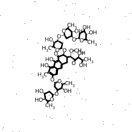 CO[C@H](C(=O)[C@@H](O)[C@@H](C)O)C1Cc2cc3cc(O[C@H]4CC(O[C@H]5C[C@@H](O)[C@H](O)C(C)O5)[C@H](O)C(C)O4)c(C)c(O)c3c(O)c2C(=O)[C@H]1O[C@H]1C[C@@H](O[C@H]2CC(O[C@H]3CC(O)[C@H](O)C(C)O3)[C@@H](O)C(C)O2)[C@H](O)C(C)O1